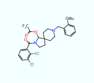 CC(C)COc1ccccc1CN1CCC2(CC1)CCN(C(=O)c1cccc(Cl)c1Cl)C2OC(=O)C(F)(F)F